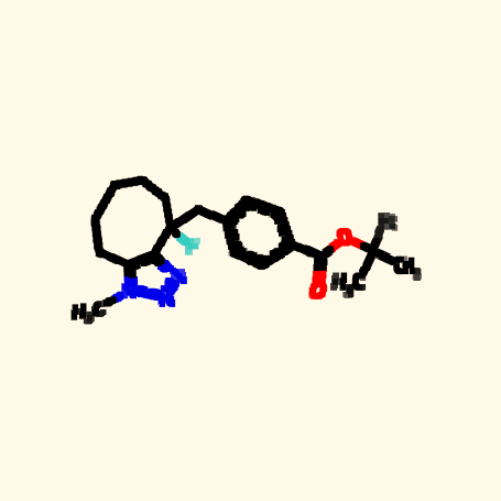 CCC(C)(C)OC(=O)c1ccc(CC2(F)CCCCCc3c2nnn3C)cc1